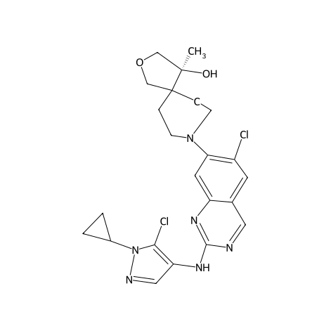 C[C@@]1(O)COCC12CCN(c1cc3nc(Nc4cnn(C5CC5)c4Cl)ncc3cc1Cl)CC2